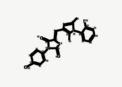 Cc1cc(C=C2SC(=O)N(c3ccc(Cl)cc3)C2=O)c(C)n1-c1ccccc1F